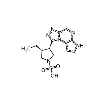 CC[C@@H]1CN(S(=O)(=O)O)C[C@@H]1c1nnc2cnc3[nH]ccc3n12